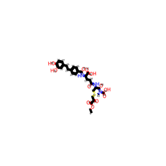 CCOC(=O)C(=O)CSCC(NC(=O)CCC(NC(=O)c1ccc(CCc2ccc(O)c(O)c2)cc1)C(=O)O)C(=O)N(C)C(=O)O